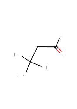 [Li][C](=O)CC(C)(C)C